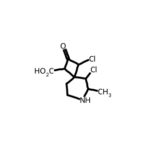 CC1NCCC2(C(Cl)C(=O)C2C(=O)O)C1Cl